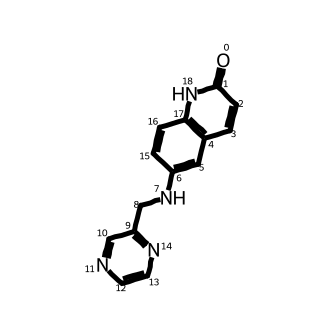 O=c1ccc2cc(NCc3cnccn3)ccc2[nH]1